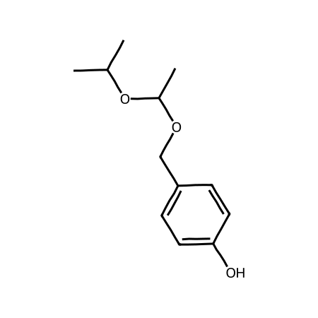 CC(C)OC(C)OCc1ccc(O)cc1